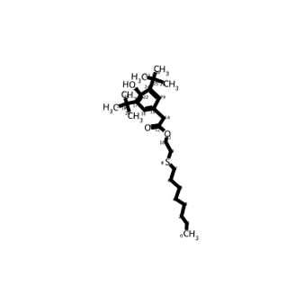 CCCCCCCCSCCOC(=O)Cc1cc(C(C)(C)C)c(O)c(C(C)(C)C)c1